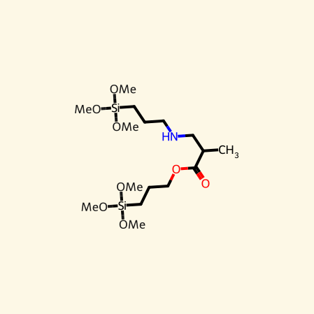 CO[Si](CCCNCC(C)C(=O)OCCC[Si](OC)(OC)OC)(OC)OC